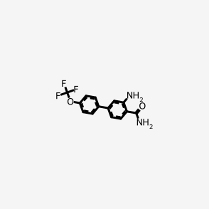 NC(=O)c1ccc(-c2ccc(OC(F)(F)F)cc2)cc1N